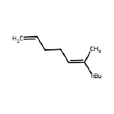 C=CCCC=C(C)CCCC